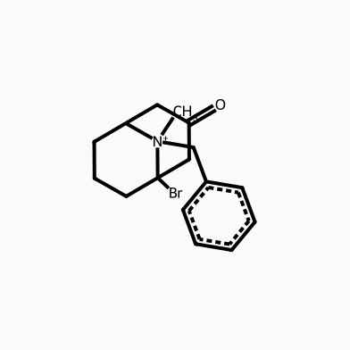 C[N+]1(Cc2ccccc2)C2CCCC1(Br)CC(=O)C2